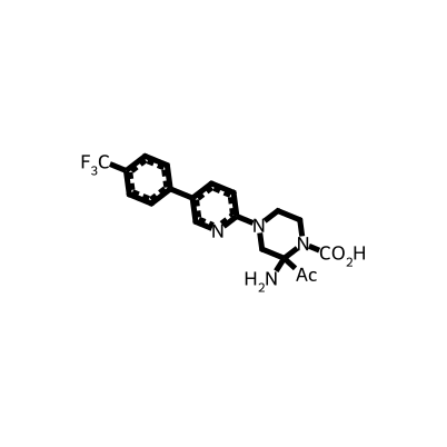 CC(=O)C1(N)CN(c2ccc(-c3ccc(C(F)(F)F)cc3)cn2)CCN1C(=O)O